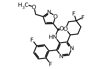 COCc1cc(C(=O)Nc2c(-c3cc(F)ccc3F)ncnc2C2CCC(F)(F)CO2)on1